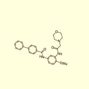 COc1ccc(NC(=O)c2ccc(-c3ccccc3)cc2)cc1NC(=O)CN1CCOCC1